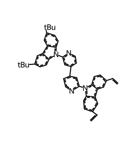 C=Cc1ccc2c(c1)c1cc(C=C)ccc1n2-c1cc(-c2ccnc(-n3c4ccc(C(C)(C)C)cc4c4cc(C(C)(C)C)ccc43)c2)ccn1